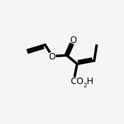 C=COC(=O)C(=CC)C(=O)O